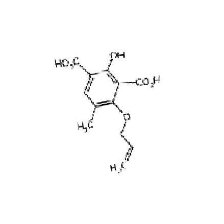 C=CCOc1c(C)cc(C(=O)O)c(O)c1C(=O)O